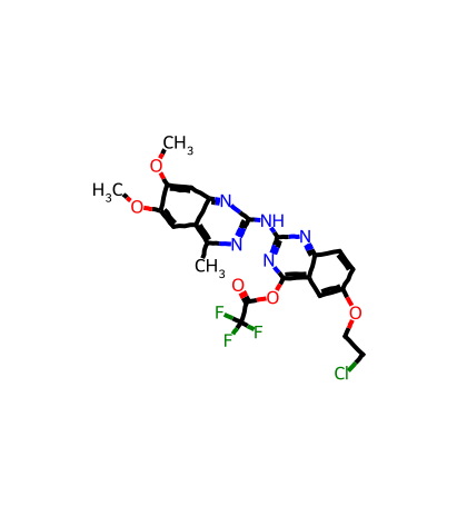 COc1cc2nc(Nc3nc(OC(=O)C(F)(F)F)c4cc(OCCCl)ccc4n3)nc(C)c2cc1OC